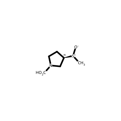 C[S+]([O-])[C@@H]1CCN(C(=O)O)C1